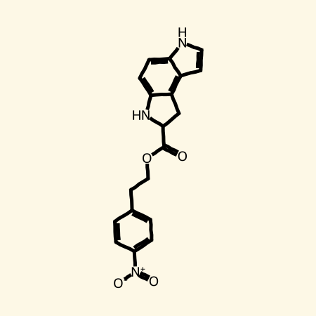 O=C(OCCc1ccc([N+](=O)[O-])cc1)C1Cc2c(ccc3[nH]ccc23)N1